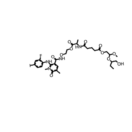 CCC(CO)OC(COC(=O)CCCC(=O)NC(C)C(=O)OCCONC(=O)c1cc(C)c(=O)n(C)c1Nc1ccc(I)cc1F)OC